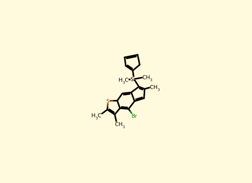 CC1=C([Si](C)(C)C2=CC=CC2)C2=CC3SC(C)=C(C)C3=C(Br)C2=C1